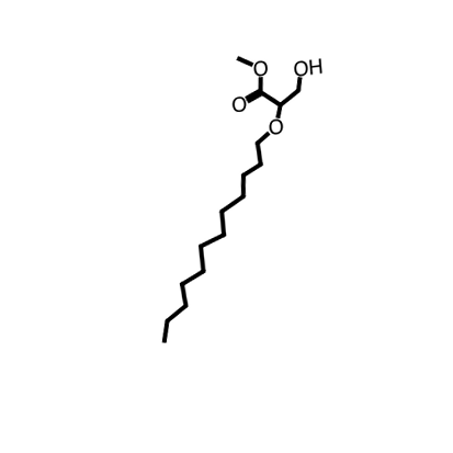 CCCCCCCCCCCCOC(CO)C(=O)OC